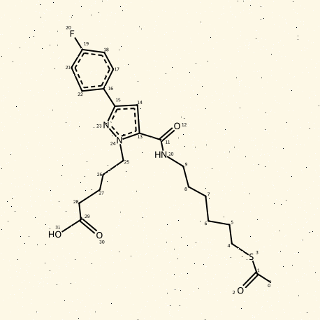 CC(=O)SCCCCCCNC(=O)c1cc(-c2ccc(F)cc2)nn1CCCCC(=O)O